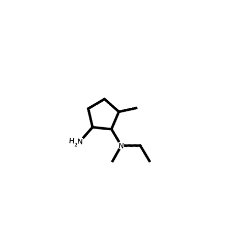 CCN(C)C1C(C)CCC1N